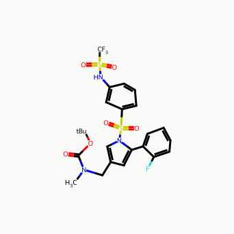 CN(Cc1cc(-c2ccccc2F)n(S(=O)(=O)c2cccc(NS(=O)(=O)C(F)(F)F)c2)c1)C(=O)OC(C)(C)C